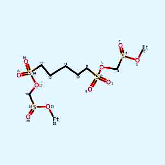 CCOS(=O)COS(=O)(=O)CCCCCS(=O)(=O)OCS(=O)OCC